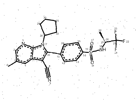 Cc1cnc2c(c1)c(C#N)c(-c1ccc(S(=O)(=O)N[C@@H](C)C(F)(F)F)cc1)n2C1CCCC1